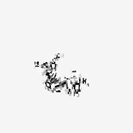 Cc1cccc(N2CCN(C(=O)Cn3nc(C(=O)N4CCC(OCCO)CC4(C)C)c4c3CCC4)CC2)c1C